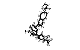 C[C@H]1CCCN1C1CCc2ccc(-c3cnc4[nH]nc(-c5ccc(S(=O)(=O)C6CC6)cc5)c4c3)cc2CC1